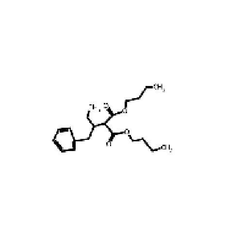 CCCCOC(=O)C(C(=O)OCCCC)C(CC)Cc1ccccc1